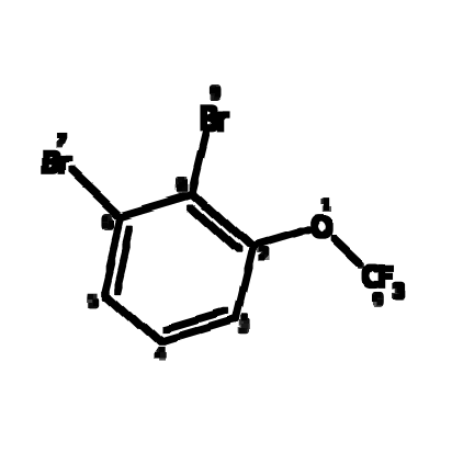 FC(F)(F)Oc1[c]ccc(Br)c1Br